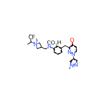 CC(N1CC(CN(C(=O)O)c2cccc(Cc3nn(-c4cnn(C)c4)ccc3=O)c2)C1)C(F)(F)F